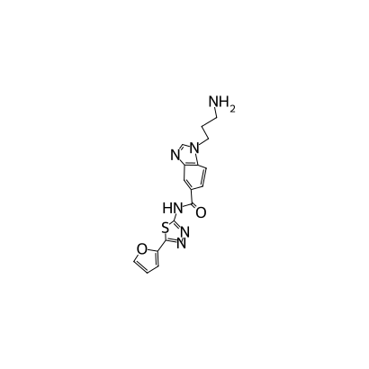 NCCCn1cnc2cc(C(=O)Nc3nnc(-c4ccco4)s3)ccc21